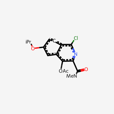 CNC(=O)c1nc(Cl)c2ccc(OC(C)C)cc2c1OC(C)=O